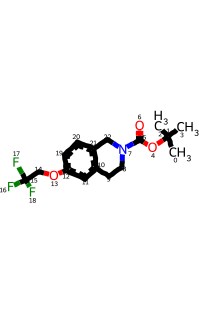 CC(C)(C)OC(=O)N1CCc2cc(OCC(F)(F)F)ccc2C1